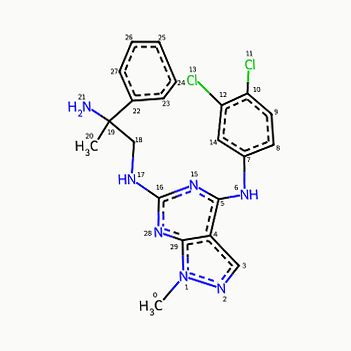 Cn1ncc2c(Nc3ccc(Cl)c(Cl)c3)nc(NCC(C)(N)c3ccccc3)nc21